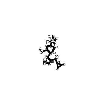 CSc1cc(S(F)(F)(F)(F)F)ccc1-c1oncc1C(=O)C1CC1